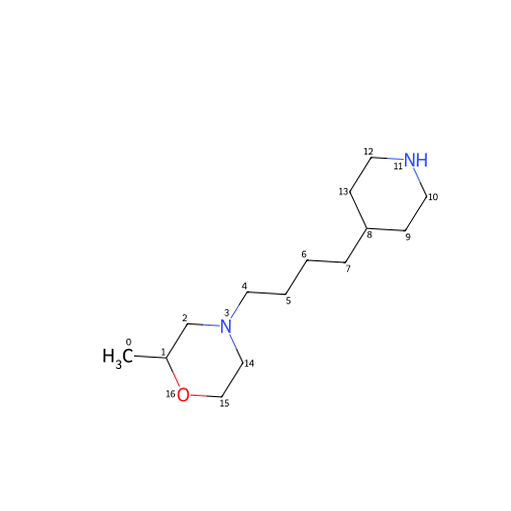 CC1CN(CCCCC2CCNCC2)CCO1